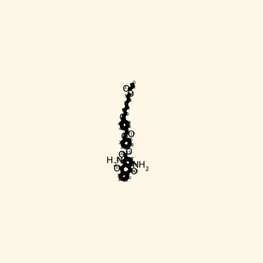 C=CC(=O)OCCCCCCOc1ccc(C(=O)Oc2ccc(OC(=O)c3cc(N)c4c(c3N)C(=O)c3ccccc3C4=O)cc2)cc1